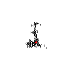 CCCC1O[C@@H]2CC3[C@@H]4C[C@H](F)C5=CC(=O)C=C[C@]5(C)C4[C@@H](O)C[C@]3(C)[C@]2(C(=O)COC(=O)OCc2ccc(NC(=O)CCCCNC(N)=O)cc2)O1